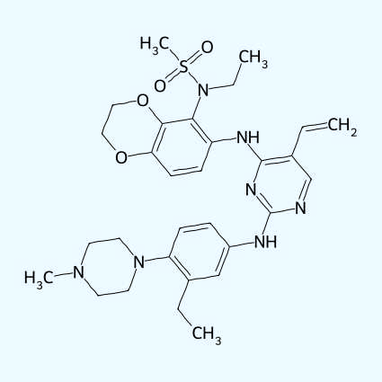 C=Cc1cnc(Nc2ccc(N3CCN(C)CC3)c(CC)c2)nc1Nc1ccc2c(c1N(CC)S(C)(=O)=O)OCCO2